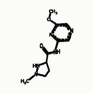 COc1cncc(NC(=O)C2CCN(C)N2)n1